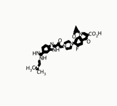 CN(C)CCNC(=N)c1ccc2nc(C(=O)CN3CCN(c4c(F)cc5c(=O)c(C(=O)O)cn6c5c4OC4CC46)CC3)[nH]c2c1